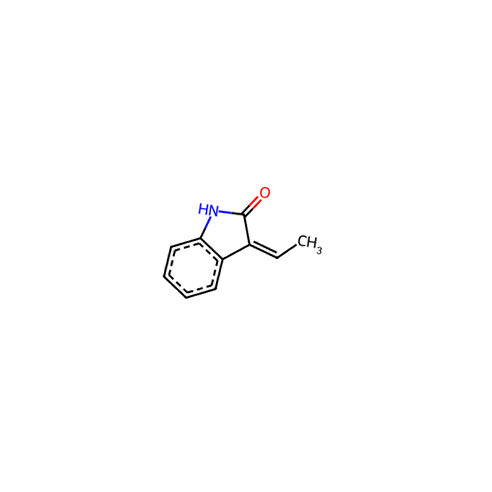 C/C=C1\C(=O)Nc2ccccc21